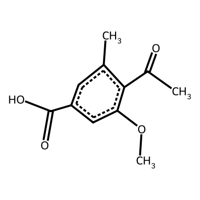 COc1cc(C(=O)O)cc(C)c1C(C)=O